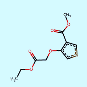 CCOC(=O)COc1cscc1C(=O)OC